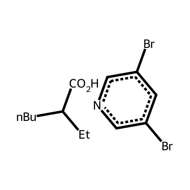 Brc1cncc(Br)c1.CCCCC(CC)C(=O)O